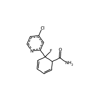 NC(=O)C1C=CC=CC1(F)c1cc(Cl)ccn1